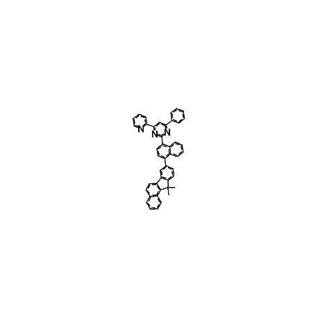 CC1(C)c2ccc(-c3ccc(-c4nc(-c5ccccc5)cc(-c5ccccn5)n4)c4ccccc34)cc2-c2ccc3ccccc3c21